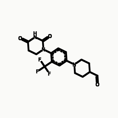 O=CC1CCN(c2ccc(N3CCC(=O)NC3=O)c(C(F)(F)F)c2)CC1